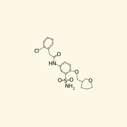 NS(=O)(=O)c1cc(NC(=O)Cc2ccccc2Cl)ccc1OCC1CCCOC1